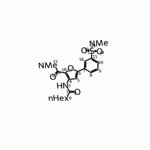 CCCCCCC(=O)Nc1cc(-c2cccc(S(=O)(=O)NC)c2)oc1C(=O)NC